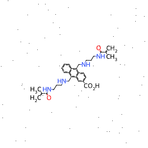 C=C(C)C(=O)NCCCNCc1c2ccccc2c(CNCCCNC(=O)C(=C)C)c2cc(C(=O)O)ccc12